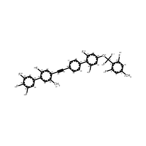 Cc1cc(F)c(C(F)(F)Oc2cc(F)c(-c3ccc(C#Cc4cc(F)c(-c5cc(F)c(F)c(F)c5)cc4C)cc3)c(F)c2)c(F)c1